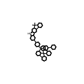 CC1(C)c2ccccc2-c2cc3c(cc21)[nH]c1ccc(-c2ccc(N(c4ccc(-c5ccccc5)cc4)c4cccc5c4C4(c6ccccc6-c6ccccc64)c4ccccc4-5)cc2)cc13